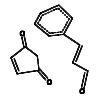 O=C/C=C/c1ccccc1.O=C1C=CC(=O)C1